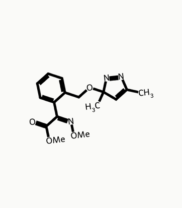 CON=C(C(=O)OC)c1ccccc1COC1(C)C=C(C)N=N1